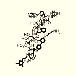 CCc1cc(OCCCCN)ccc1-c1ccc(C[C@H](NC(=O)[C@H](CC(=O)O)NC(=O)[C@H](CO)NC(=O)[C@@H](NC(=O)[C@](C)(Cc2ccccc2F)NC(=O)[C@@H](NC(=O)CNC(=O)[C@H](Cc2nn[nH]n2)NC(=O)[C@]2(C)CCN(CCc3cnc[nH]3)C2=O)[C@@H](C)O)[C@@H](C)O)C(=O)N[C@@H](CCCc2cc(C)cc(C)c2)C(N)=O)cc1